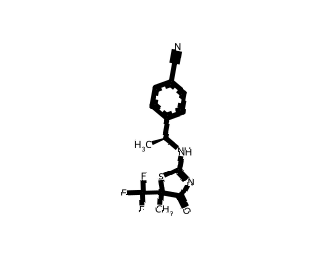 C[C@H](NC1=NC(=O)C(C)(C(F)(F)F)S1)c1ccc(C#N)cc1